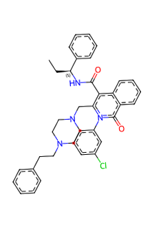 CC[C@H](NC(=O)c1c(CN2CCN(CCc3ccccc3)CC2)n(-c2cccc(Cl)c2)c(=O)c2ccccc12)c1ccccc1